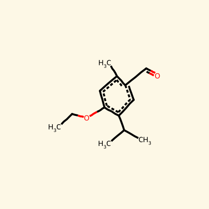 CCOc1cc(C)c(C=O)cc1C(C)C